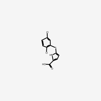 O=C(O)c1ccc(Sc2cc(Cl)ccc2Cl)[nH]1